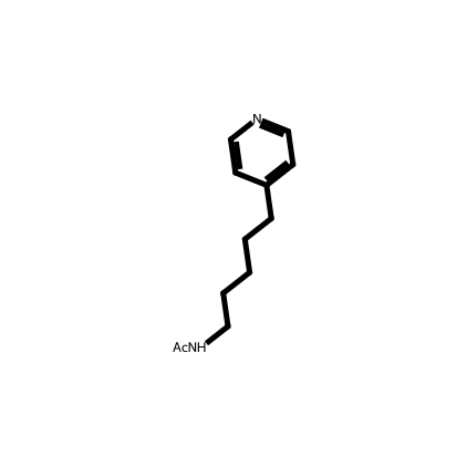 CC(=O)NCCCCCc1ccncc1